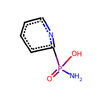 NP(=O)(O)c1ccccn1